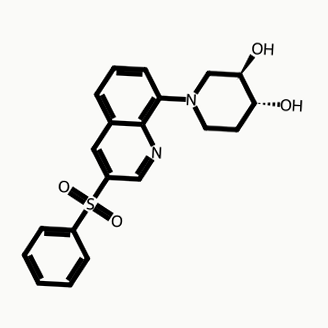 O=S(=O)(c1ccccc1)c1cnc2c(N3CC[C@@H](O)[C@H](O)C3)cccc2c1